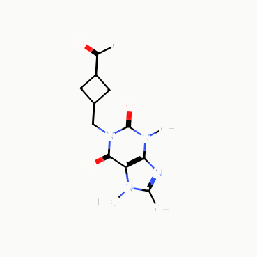 CC(=O)C1CC(Cn2c(=O)c3c(nc(C)n3C)n(C)c2=O)C1